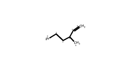 [CH2]C(C)CCC(C)C=C